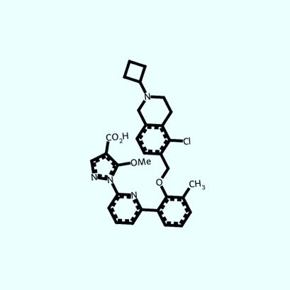 COc1c(C(=O)O)cnn1-c1cccc(-c2cccc(C)c2OCc2ccc3c(c2Cl)CCN(C2CCC2)C3)n1